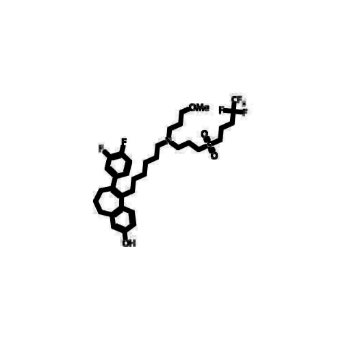 COCCCN(CCCCCCC1=C(c2ccc(F)c(F)c2)CCCc2cc(O)ccc21)CCCS(=O)(=O)CCCC(F)(F)C(F)(F)F